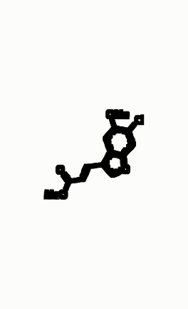 COC(=O)/C=C/c1coc2cc(Cl)c(OC)cc12